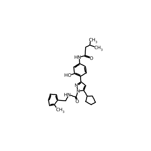 Cc1ccccc1CNC(=O)n1nc(-c2ccc(NC(=O)CC(C)C)cc2O)cc1C1CCCC1